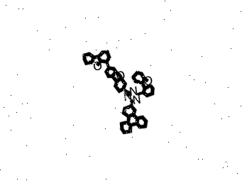 c1ccc2c(c1)oc1c(-c3ccc4c(c3)oc3cc(-c5nc(-c6ccc7c8ccccc8c8ccccc8c7c6)nc(-c6cccc7oc8ccccc8c67)n5)ccc34)cccc12